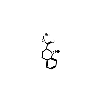 CC(C)(C)OC(=O)C1CCc2ccccc2O1.F